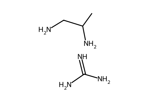 CC(N)CN.N=C(N)N